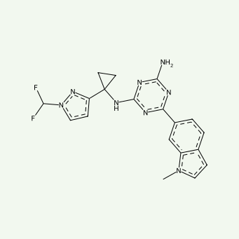 Cn1ccc2ccc(-c3nc(N)nc(NC4(c5ccn(C(F)F)n5)CC4)n3)cc21